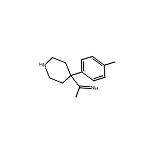 CC(=N)C1(c2ccc(C)cc2)CCNCC1